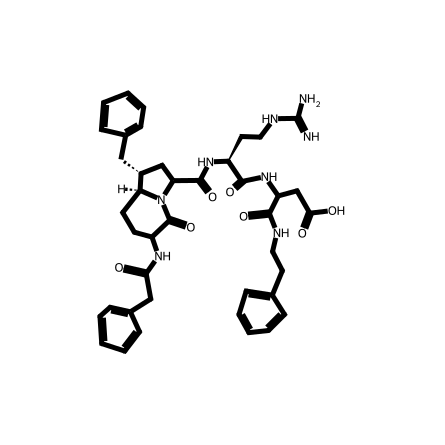 N=C(N)NCC[C@H](NC(=O)C1C[C@@H](Cc2ccccc2)[C@@H]2CCC(NC(=O)Cc3ccccc3)C(=O)N12)C(=O)NC(CC(=O)O)C(=O)NCCc1ccccc1